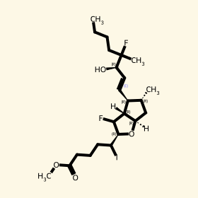 CCCCC(C)(F)[C@H](O)/C=C/[C@@H]1[C@H]2C(F)[C@H](C(I)CCCC(=O)OC)O[C@@H]2C[C@H]1C